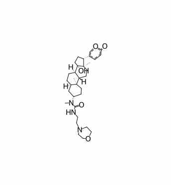 CN(C(=O)NCCN1CCOCC1)[C@H]1CC[C@@]2(C)[C@H](CC[C@@H]3[C@@H]2CC[C@]2(C)[C@@H](c4ccc(=O)oc4)CC[C@]32O)C1